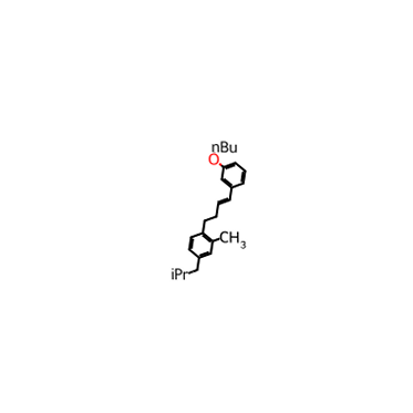 CCCCOc1cccc(C=CCCc2ccc(CC(C)C)cc2C)c1